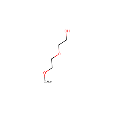 COOCCOCCO